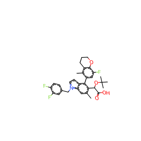 Cc1cc2c(ccn2Cc2ccc(F)c(F)c2)c(-c2cc(F)c3c(c2C)CCCO3)c1C(OC(C)(C)C)C(=O)O